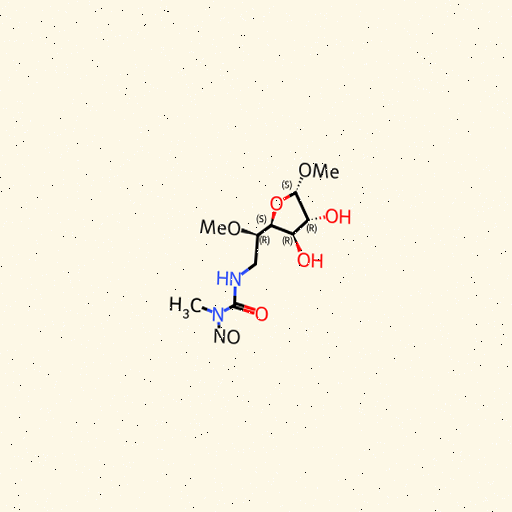 CO[C@H]1O[C@H]([C@@H](CNC(=O)N(C)N=O)OC)[C@H](O)[C@H]1O